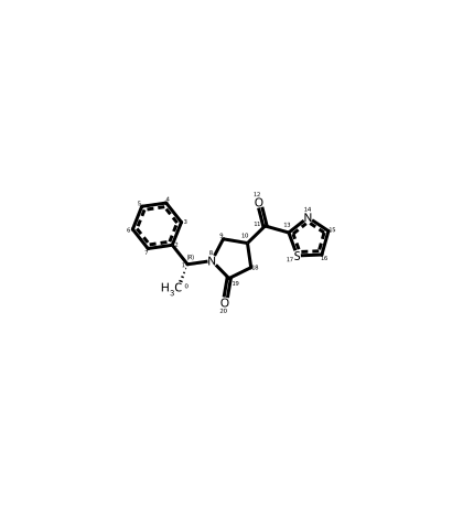 C[C@H](c1ccccc1)N1CC(C(=O)c2nccs2)CC1=O